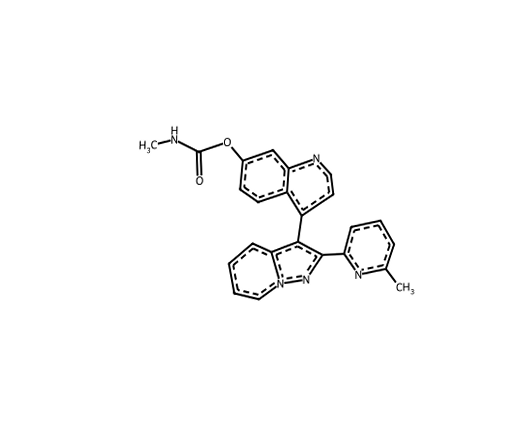 CNC(=O)Oc1ccc2c(-c3c(-c4cccc(C)n4)nn4ccccc34)ccnc2c1